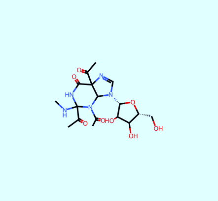 CNC1(C(C)=O)NC(=O)C2(C(C)=O)N=CN([C@@H]3O[C@H](CO)C(O)C3O)C2N1C(C)=O